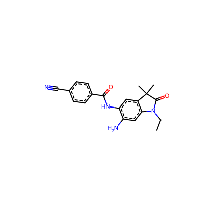 CCN1C(=O)C(C)(C)c2cc(NC(=O)c3ccc(C#N)cc3)c(N)cc21